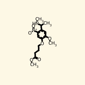 CNC(C)c1cc(OC)c(OCCCC(=O)OC)cc1[N+](=O)[O-]